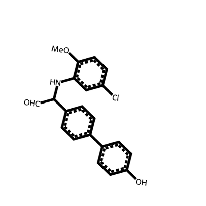 COc1ccc(Cl)cc1NC(C=O)c1ccc(-c2ccc(O)cc2)cc1